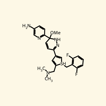 COC1(c2ccc(N)cn2)C=CC(C2=C[SH](Cc3c(F)cccc3F)C(CN(C)C)=C2)=NN1